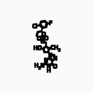 C=C1[C@H](CO[P@]2(=O)OCC[C@H](c3cc(F)ccc3Cl)O2)[C@@H](O)C[C@@H]1n1cnc2c(=O)[nH]c(N)nc21